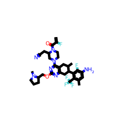 C=C(F)C(=O)N1CCN(c2nc(OCC3CCCN3C)nc3c2CC(C)C(c2c(F)c(N)cc(C)c2C(F)(F)F)C3)CC1CC#N